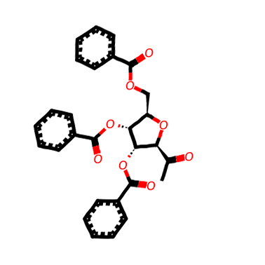 CC(=O)[C@@H]1O[C@H](COC(=O)c2ccccc2)[C@@H](OC(=O)c2ccccc2)[C@H]1OC(=O)c1ccccc1